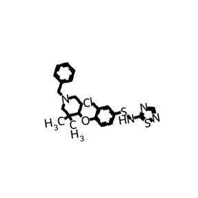 CC1(C)CN(Cc2ccccc2)CCC1Oc1ccc(SNc2ncns2)cc1Cl